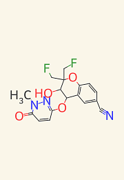 Cn1nc(OC2c3cc(C#N)ccc3OC(CF)(CF)C2O)ccc1=O